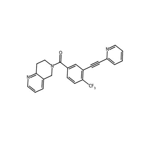 O=C(c1ccc(C(F)(F)F)c(C#Cc2ccccn2)c1)N1CCc2ncccc2C1